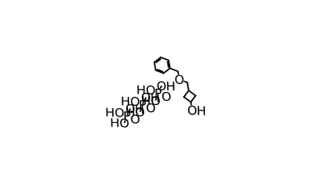 O=P(O)(O)O.O=P(O)(O)O.O=P(O)(O)O.OC1CC(COCc2ccccc2)C1